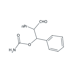 CCCC(C=O)C(OC(N)=O)c1ccccc1